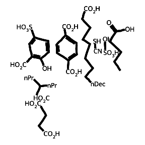 CCCC(CCC)C(=O)O.CCCCC(=O)O.CCCCCCCCCCCCCCCCCC(=O)O.N#CS.O=C(O)CCC(=O)O.O=C(O)c1cc(S(=O)(=O)O)ccc1O.O=C(O)c1ccc(C(=O)O)cc1.O=S(=O)(O)O